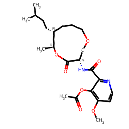 COc1ccnc(C(=O)N[C@H]2COCCC[C@@H](CCC(C)C)[C@H](C)OC2=O)c1OC(C)=O